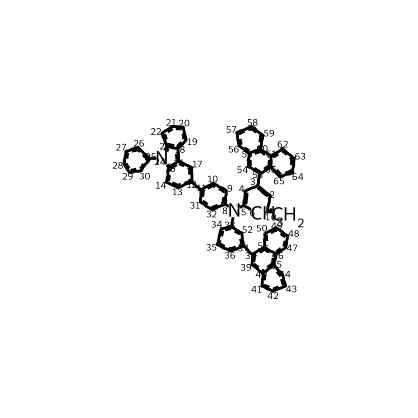 C=C/C=C(\C=C(/C)N(c1ccc(-c2ccc3c(c2)c2ccccc2n3-c2ccccc2)cc1)c1cccc(-c2cc3ccccc3c3ccccc23)c1)c1cc2ccccc2c2ccccc12